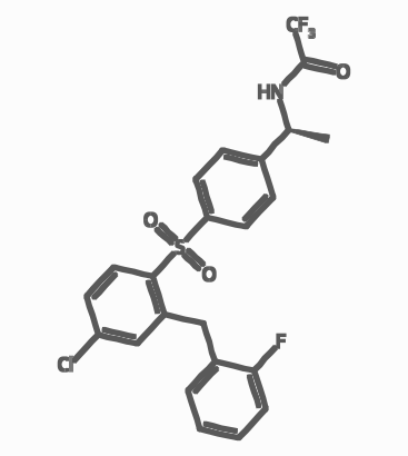 C[C@H](NC(=O)C(F)(F)F)c1ccc(S(=O)(=O)c2ccc(Cl)cc2Cc2ccccc2F)cc1